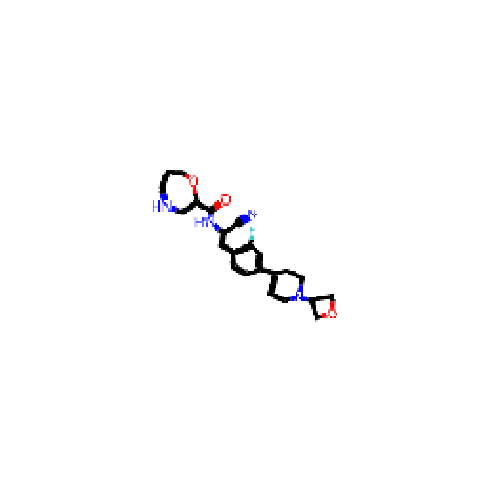 N#CC(Cc1ccc(C2=CCN(C3COC3)CC2)cc1F)NC(=O)C1CNCCCO1